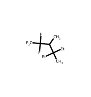 CCC(C)(CC)C(C)C(F)(F)C(F)(F)F